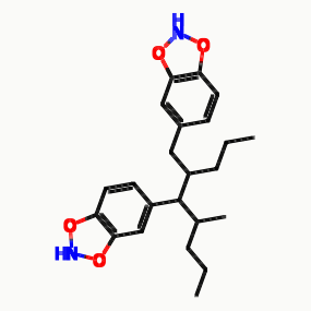 CCCC(C)C(c1ccc2c(c1)ONO2)C(CCC)Cc1ccc2c(c1)ONO2